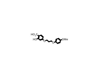 COc1ccc(OCCCOc2ccc(C(=O)O)c(O)c2)cc1